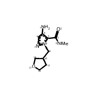 CNC(=O)c1c(N)cnn1CC1CCOC1